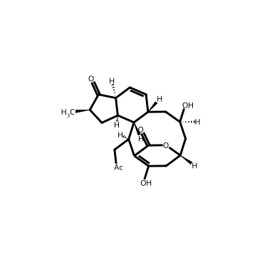 CC(=O)C[C@@H]1C2=C(O)C[C@@H](C[C@H](O)C[C@H]3C=C[C@@H]4C(=O)[C@H](C)C[C@@H]4[C@H]31)OC2=O